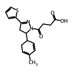 CC1=CCC(C2CC(c3cccs3)=NN2C(=O)CCC(=O)O)C=C1